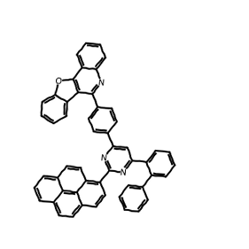 c1ccc(-c2ccccc2-c2cc(-c3ccc(-c4nc5ccccc5c5oc6ccccc6c45)cc3)nc(-c3ccc4ccc5cccc6ccc3c4c56)n2)cc1